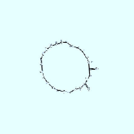 O=C1CCC(=O)OCCCCCCCCCCCCCCCCCCCCO1